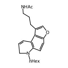 CCCCCCN1CC=Cc2c1ccc1occ(CCCNC(C)=O)c21